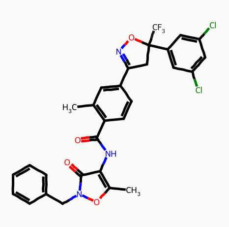 Cc1cc(C2=NOC(c3cc(Cl)cc(Cl)c3)(C(F)(F)F)C2)ccc1C(=O)Nc1c(C)on(Cc2ccccc2)c1=O